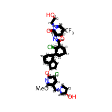 COc1nc(O[C@H]2CCc3c(-c4cccc(-c5nc6c(=O)n(CCO)cc(C(F)(F)F)c6o5)c4Cl)cccc32)c(Cl)cc1CN1CC[C@@H](O)C1